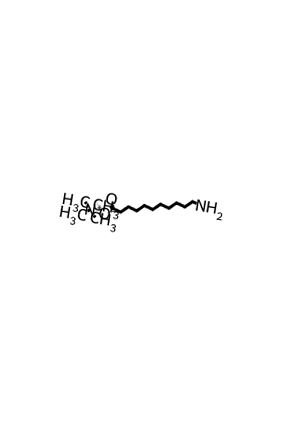 C[N+](C)(C)C.NCCCCCCCCCCC(=O)[O-]